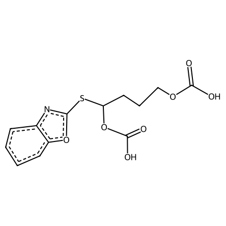 O=C(O)OCCCC(OC(=O)O)Sc1nc2ccccc2o1